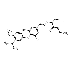 CCOC(=O)C(CC)ON=Cc1cc(Br)c(Oc2ccc(OC)c(C(C)C)c2)c(Br)c1